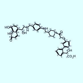 O=C(O)[C@@H](O)c1ccccc1-c1cccc(OCC(=O)N2CCC(CNc3ccc(CNC[C@H](O)c4ccc(O)c5[nH]c(=O)ccc45)cc3)CC2)c1